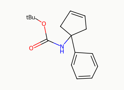 CC(C)(C)OC(=O)NC1(c2ccccc2)CC=CC1